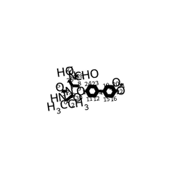 CC1(C)NC(=O)N(C(COc2ccc(-c3ccc4c(c3)OCO4)cc2)CN(O)C=O)C1=O